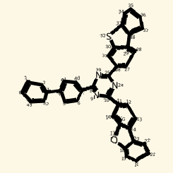 c1ccc(-c2ccc(-c3nc(-c4ccc5c(c4)oc4ccccc45)nc(-c4ccc5c(c4)sc4ccccc45)n3)cc2)cc1